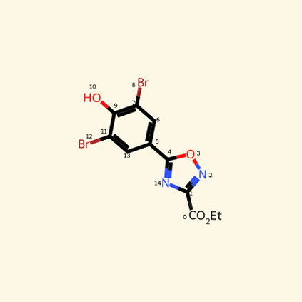 CCOC(=O)c1noc(-c2cc(Br)c(O)c(Br)c2)n1